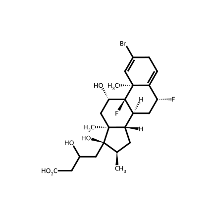 C[C@@H]1C[C@H]2[C@@H]3C[C@@H](F)C4=CCC(Br)=C[C@]4(C)[C@@]3(F)[C@@H](O)C[C@]2(C)[C@@]1(O)CC(O)CC(=O)O